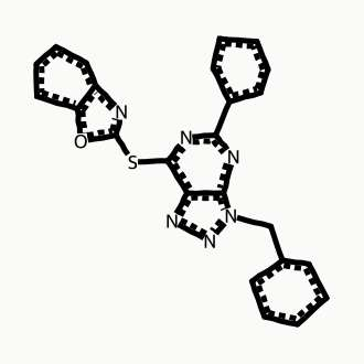 c1ccc(Cn2nnc3c(Sc4nc5ccccc5o4)nc(-c4ccccc4)nc32)cc1